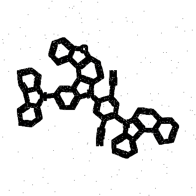 N#Cc1cc(-n2c3ccc(-n4c5ccccc5c5ccccc54)cc3c3c4c(ccc32)oc2ccccc24)c(C#N)cc1-n1c2ccccc2c2c3ccccc3ccc21